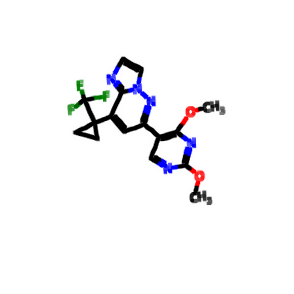 COc1ncc(-c2cc(C3(C(F)(F)F)CC3)c3nccn3n2)c(OC)n1